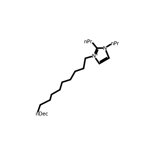 CCCCCCCCCCCCCCCCCCC[n+]1ccn(CCC)c1CCC